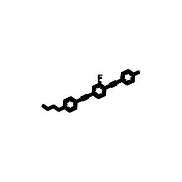 CCCCc1ccc(C#Cc2ccc(C#Cc3ccc(C)cc3)c(F)c2)cc1